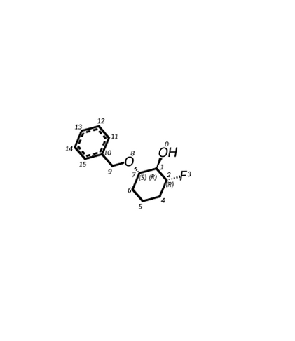 O[C@H]1[C@H](F)CCC[C@@H]1OCc1ccccc1